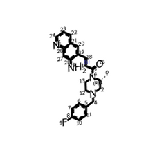 C[C@@H]1CN(Cc2ccc(F)cc2)CCN1C(=O)/C=C/c1cc2cccnc2cc1N